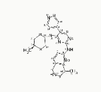 C[C@H]1CNCc2ccc(Nc3ncc4c5ccncc5n([C@H]5CC[C@H](C)CC5)c4n3)nc21